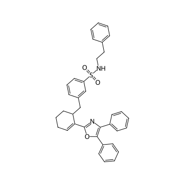 O=S(=O)(NCCc1ccccc1)c1cccc(CC2CCCC=C2c2nc(-c3ccccc3)c(-c3ccccc3)o2)c1